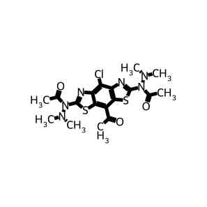 CC(=O)c1c2sc(N(C(C)=O)N(C)C)nc2c(Cl)c2nc(N(C(C)=O)N(C)C)sc12